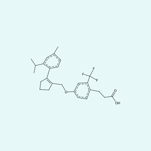 Cc1ccc(C2=C(COc3ccc(CCC(=O)O)c(C(F)(F)F)c3)CCC2)c(C(C)C)c1